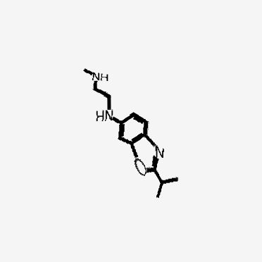 CNCCNc1ccc2nc(C(C)C)oc2c1